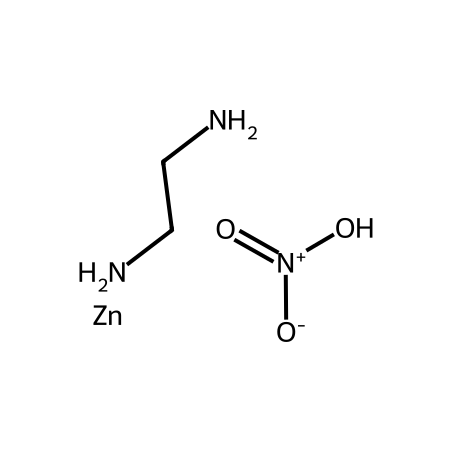 NCCN.O=[N+]([O-])O.[Zn]